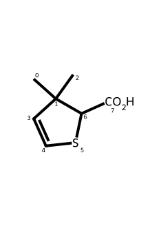 CC1(C)C=CSC1C(=O)O